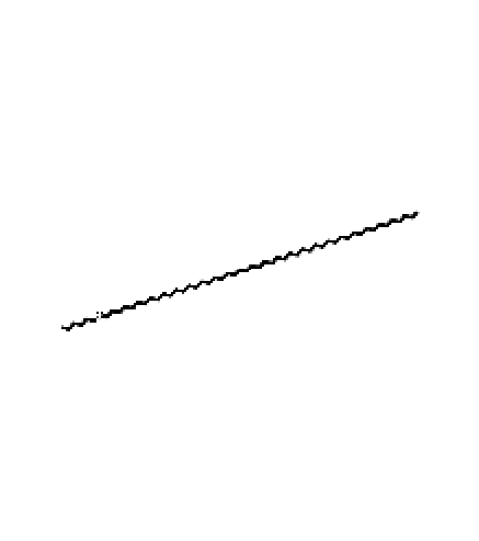 CCCCCCCCCCCCCCCCCCCCCCCCCCCCCCCCCCCCCCCCCCCCCCCCC[CH]OCCCCCC